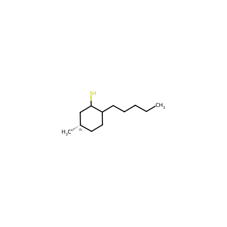 CCCCCC1CC[C@H](C)CC1S